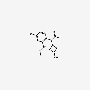 C=C(C)N(c1ncc(Br)cc1[C@H](C)CC)C1CC(O)C1